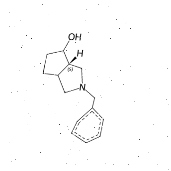 OC1CCC2CN(Cc3ccccc3)C[C@@H]12